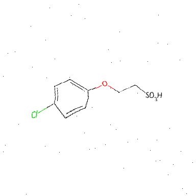 O=S(=O)(O)CCOc1ccc(Cl)cc1